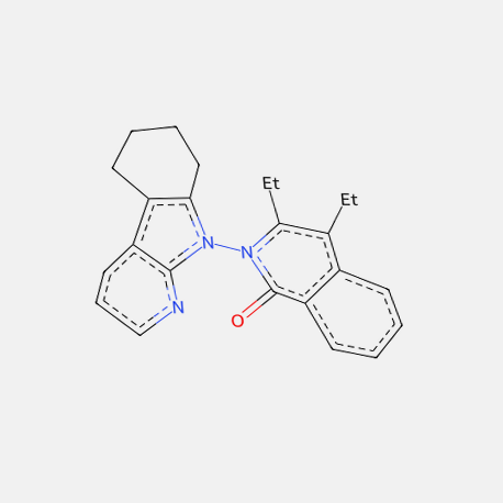 CCc1c(CC)n(-n2c3c(c4cccnc42)CCCC3)c(=O)c2ccccc12